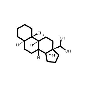 C[C@]12CCCC[C@@H]1CC[C@H]1[C@@H]3CCC[C@@]3(C(O)O)CC[C@@H]12